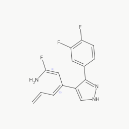 C=C/C=C(\C=C(/N)F)c1c[nH]nc1-c1ccc(F)c(F)c1